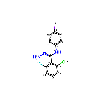 NN=C(Nc1ccc(I)cc1)c1c(F)cccc1Cl